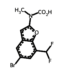 CN(C(=O)O)c1cc2cc(Br)cc(C(F)F)c2o1